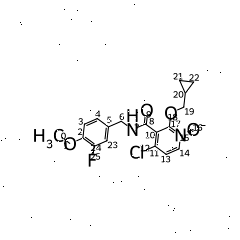 COc1ccc(CNC(=O)c2c(Cl)cc[n+]([O-])c2OCC2CC2)cc1F